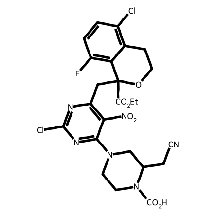 CCOC(=O)C1(Cc2nc(Cl)nc(N3CCN(C(=O)O)C(CC#N)C3)c2[N+](=O)[O-])OCCc2c(Cl)ccc(F)c21